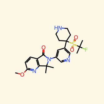 COc1ccc2c(n1)C(C)(C)N(c1cncc(C3(S(=O)(=O)C(C)(C)F)CCNCC3)c1)C2=O